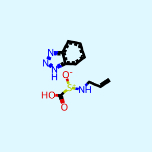 C=CCN[S+]([O-])C(=O)O.c1ccc2[nH]nnc2c1